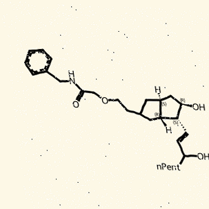 CCCCCC(O)C=C[C@@H]1[C@@H]2CC(CCOCC(=O)NCc3ccccc3)C[C@H]2C[C@H]1O